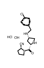 Cl.Cl.N#C[C@@H]1CCCN1C(=O)[C@@H]1C[C@H](NCc2ccc(Cl)cc2)CN1